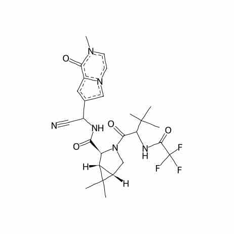 Cn1ccn2cc(C(C#N)NC(=O)[C@@H]3[C@@H]4[C@H](CN3C(=O)C(NC(=O)C(F)(F)F)C(C)(C)C)C4(C)C)cc2c1=O